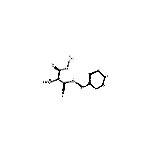 CC(C)(C)SC(=O)C(C(=O)OCC1CCCCC1)S(=O)(=O)O